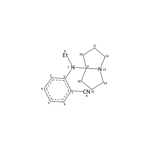 CCN(c1ccccc1C#N)C12CCCN1CCC2